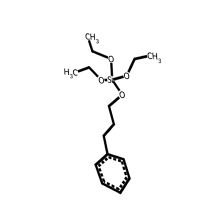 CCO[Si](OCC)(OCC)OCCCc1ccccc1